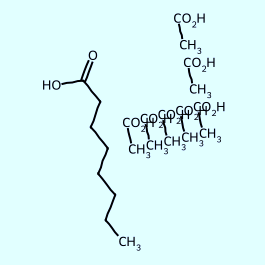 CC(=O)O.CC(=O)O.CC(=O)O.CC(=O)O.CC(=O)O.CC(=O)O.CC(=O)O.CCCCCCCC(=O)O